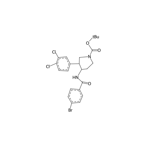 CC(C)(C)OC(=O)N1CCC(NC(=O)c2ccc(Br)cc2)C(c2ccc(Cl)c(Cl)c2)C1